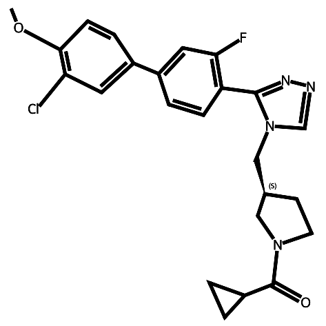 COc1ccc(-c2ccc(-c3nncn3C[C@H]3CCN(C(=O)C4CC4)C3)c(F)c2)cc1Cl